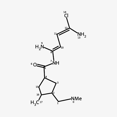 CNCC1CC(C(=O)N/C(N)=C/C=C(\N)Cl)CC1C